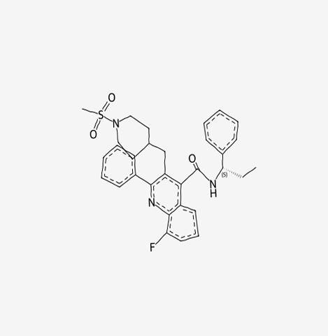 CC[C@H](NC(=O)c1c(CC2CCN(S(C)(=O)=O)CC2)c(-c2ccccc2)nc2c(F)cccc12)c1ccccc1